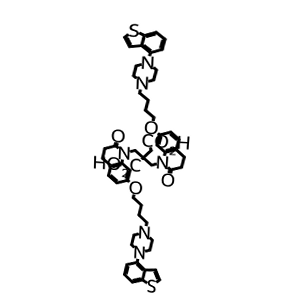 O=C(O)CC(CN1C(=O)CCc2ccc(OCCCCN3CCN(c4cccc5sccc45)CC3)cc21)(CN1C(=O)CCc2ccc(OCCCCN3CCN(c4cccc5sccc45)CC3)cc21)C(=O)O